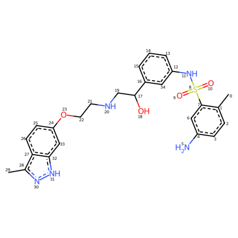 Cc1ccc(N)cc1S(=O)(=O)Nc1cccc(C(O)CNCCOc2ccc3c(C)n[nH]c3c2)c1